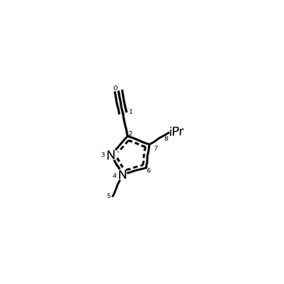 C#Cc1nn(C)cc1C(C)C